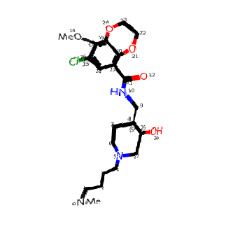 CNCCCCN1CC[C@@H](CNC(=O)c2cc(Cl)c(OC)c3c2OCCO3)C(O)C1